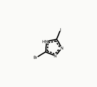 Brc1nnc(I)[nH]1